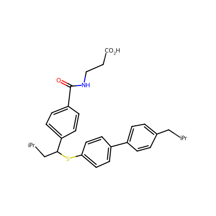 CC(C)Cc1ccc(-c2ccc(SC(CC(C)C)c3ccc(C(=O)NCCC(=O)O)cc3)cc2)cc1